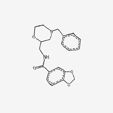 O=C(NCC1CN(Cc2ccccc2)CCO1)c1ccc2c(c1)OCO2